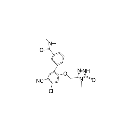 CN(C)C(=O)c1cccc(-c2cc(C#N)c(Cl)cc2OCc2n[nH]c(=O)n2C)c1